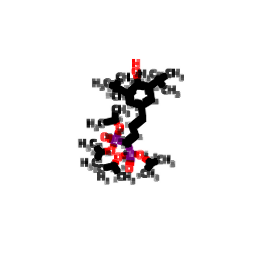 CC(C)OP(=O)(OC(C)C)C(=CC=Cc1cc(C(C)(C)C)c(O)c(C(C)(C)C)c1)P(=O)(OC(C)C)OC(C)C